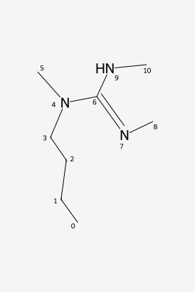 CCCCN(C)C(=NC)NC